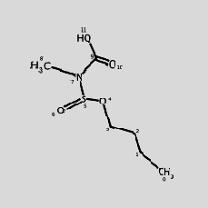 CCCCOS(=O)N(C)C(=O)O